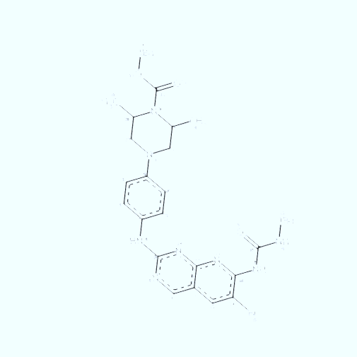 CC1CN(c2ccc(Nc3ncc4cc(Br)c(NC(=O)NC(C)(C)C)nc4n3)cc2)CC(C)N1C(=O)OC(C)(C)C